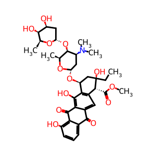 CC[C@@]1(O)C[C@H](O[C@H]2C[C@H](N(C)C)[C@H](O[C@H]3C[C@H](O)[C@H](O)[C@H](C)O3)[C@H](C)O2)c2c(cc3c(c2O)C(=O)c2c(O)cccc2C3=O)[C@H]1C(=O)OC